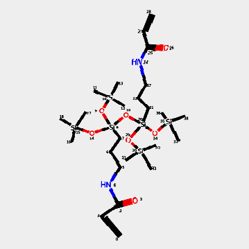 C=CC(=O)NCCC[Si](O[Si](C)(C)C)(O[Si](C)(C)C)O[Si](CCCNC(=O)C=C)(O[Si](C)(C)C)O[Si](C)(C)C